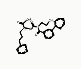 CCCN(C(=O)N[C@@H](CCCc1ccccc1)C(=O)O)C(=O)c1cccc(-c2ccccc2)c1